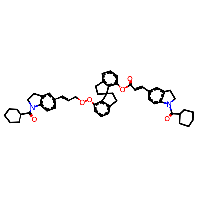 O=C(/C=C/c1ccc2c(c1)CCN2C(=O)C1CCCCC1)Oc1cccc2c1C1(CCc3cccc(OOC/C=C/c4ccc5c(c4)CCN5C(=O)C4CCCCC4)c31)CC2